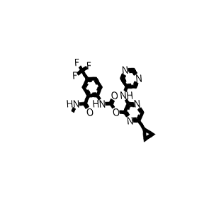 CNC(=O)c1cc(C(F)(F)F)ccc1NC(=O)Oc1nc(C2CC2)cnc1Nc1cncnc1